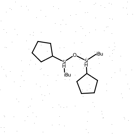 CCC(C)[SiH](O[SiH](C(C)CC)C1CCCC1)C1CCCC1